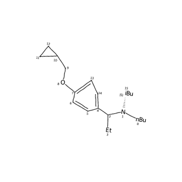 CCCCN(C(CC)c1ccc(OCC2CC2)cc1)[C@@H](C)CC